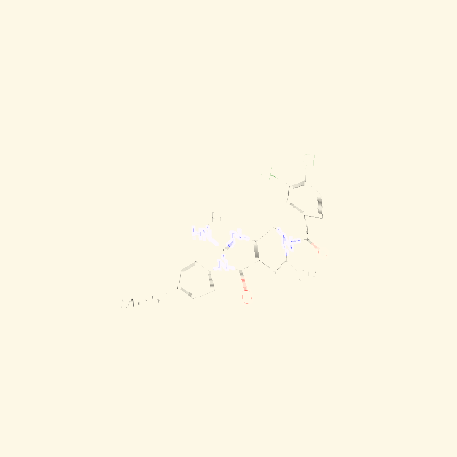 CSc1ccc(-n2c(NC(C)C)nc3c(c2=O)CC(C)N(C(=O)c2ccc(Cl)c(Cl)c2)C3)cc1